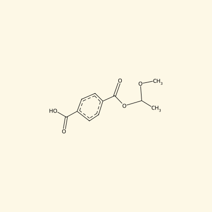 COC(C)OC(=O)c1ccc(C(=O)O)cc1